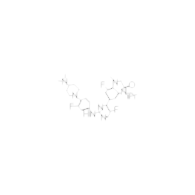 CC(C)N1C(=O)CN(C)c2c(F)cc(-c3nc(Nc4ccc(N5CCC(N(C)C)CC5)c(F)c4)ncc3F)cc21